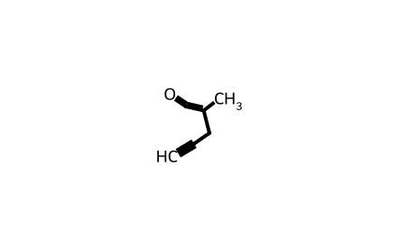 C#CCC(C)=C=O